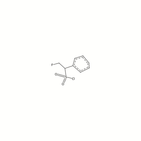 O=S(=O)(Cl)C(CF)c1ccccc1